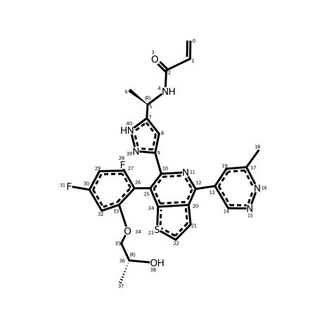 C=CC(=O)N[C@H](C)c1cc(-c2nc(-c3cnnc(C)c3)c3ccsc3c2-c2c(F)cc(F)cc2OC[C@@H](C)O)n[nH]1